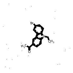 CCn1c2ccc(Br)cc2c2cc(C(C)=O)ccc21